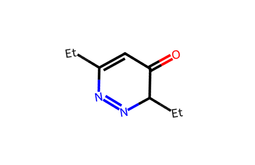 CCC1=CC(=O)C(CC)N=N1